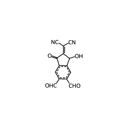 N#CC(C#N)=C1C(=O)c2cc(C=O)c(C=O)cc2C1O